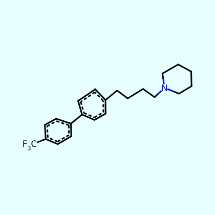 FC(F)(F)c1ccc(-c2ccc(CCCCN3CCCCC3)cc2)cc1